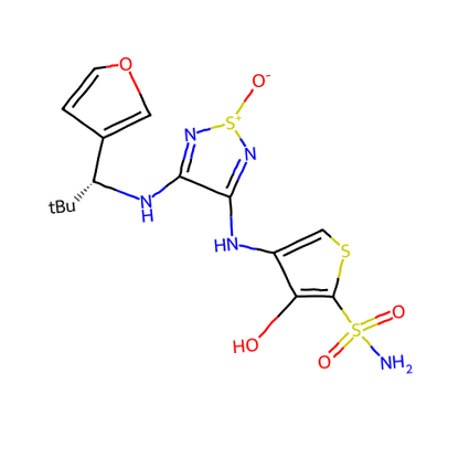 CC(C)(C)[C@@H](Nc1n[s+]([O-])nc1Nc1csc(S(N)(=O)=O)c1O)c1ccoc1